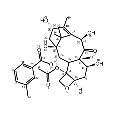 CC(=O)O[C@@]12CO[C@@H]1C[C@H](O)[C@@]1(C)C(=O)[C@H](O)C3=C(C)[C@@H](O)C[C@@](O)([C@@H](OC(=O)c4cccc(C)c4)C12)C3(C)C